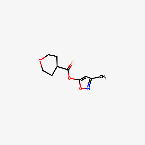 Cc1cc(OC(=O)C2CCOCC2)on1